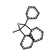 CC1(c2ccccc2)OC1(c1ccccc1)c1ccccc1